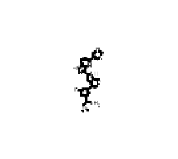 CN(C)CC(N)c1cc(F)cc(-c2cncc3[nH]c(-c4n[nH]c5ccc(-c6cncnc6)nc45)cc23)c1